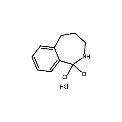 Cl.ClC1(Cl)NCCCc2ccccc21